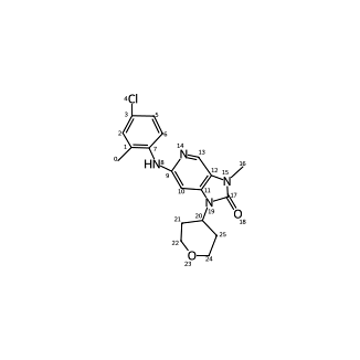 Cc1cc(Cl)ccc1Nc1cc2c(cn1)n(C)c(=O)n2C1CCOCC1